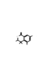 Cc1cc(C)c2c(c1)C(=O)NC(O)C2(F)F